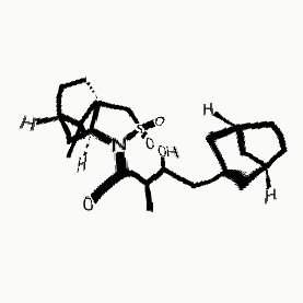 CC(C(=O)N1[C@H]2C[C@@H]3CC[C@@]2(CS1(=O)=O)C3(C)C)C(O)CC1C[C@H]2CC[C@@H](C1)C2